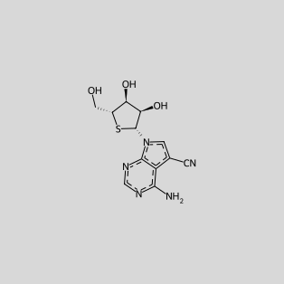 N#Cc1cn([C@@H]2S[C@H](CO)[C@@H](O)[C@H]2O)c2ncnc(N)c12